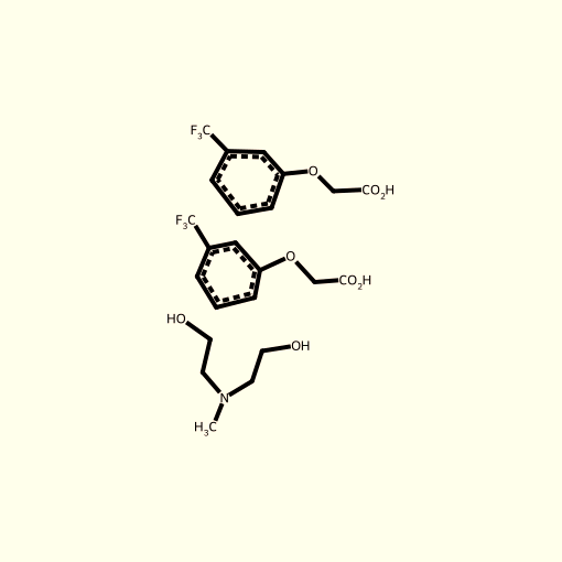 CN(CCO)CCO.O=C(O)COc1cccc(C(F)(F)F)c1.O=C(O)COc1cccc(C(F)(F)F)c1